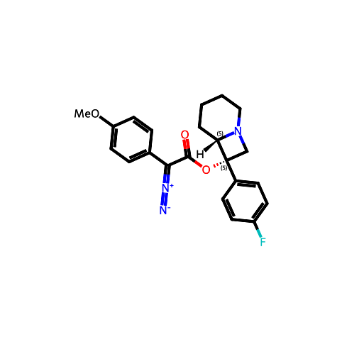 COc1ccc(C(=[N+]=[N-])C(=O)O[C@@]2(c3ccc(F)cc3)CN3CCCC[C@H]32)cc1